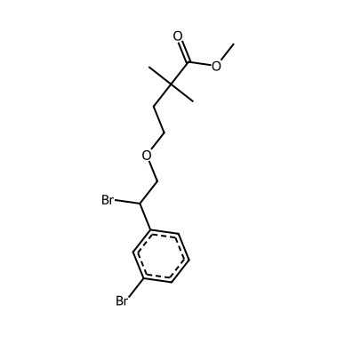 COC(=O)C(C)(C)CCOCC(Br)c1cccc(Br)c1